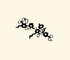 CCCCCc1cc(OCc2cccc(-c3c(O)cc(CCC)c4c3OCOC4=O)c2)c(-c2cccc(C)c2)c2c1C(=O)OC(CC(C)=O)(c1ccc(C(=O)OC)cc1)O2